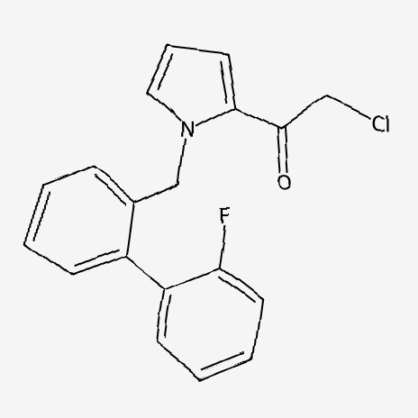 O=C(CCl)c1cccn1Cc1ccccc1-c1ccccc1F